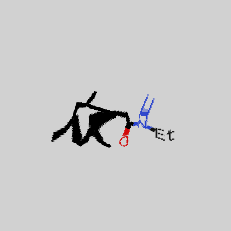 CCNC(=O)Cc1c(C)cc(C)cc1C